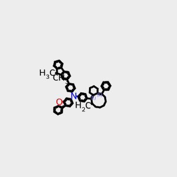 C=C1CCCCC/C(c2ccccc2)=C2/CCCC/C2=C/1c1ccc(N(c2ccc(-c3ccc4c(c3)C(C)(C)c3ccccc3-4)cc2)c2ccc3c(c2)oc2ccccc23)cc1